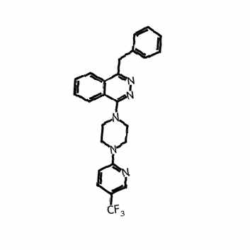 FC(F)(F)c1ccc(N2CCN(c3nnc(Cc4ccccc4)c4ccccc34)CC2)nc1